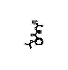 CC(=O)ONC(=O)c1ccccc1OC(F)F